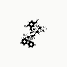 CC(C)(C)OC(=O)N(CCO[Si](c1ccccc1)(c1ccccc1)C(C)(C)C)S(=O)(=O)Cc1cc(CBr)ccc1Br